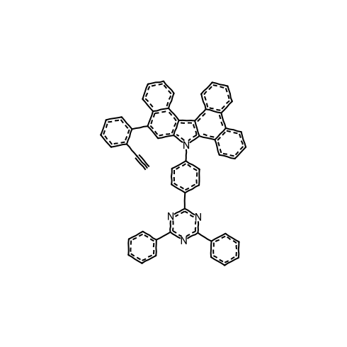 C#Cc1ccccc1-c1cc2c(c3ccccc13)c1c3ccccc3c3ccccc3c1n2-c1ccc(-c2nc(-c3ccccc3)nc(-c3ccccc3)n2)cc1